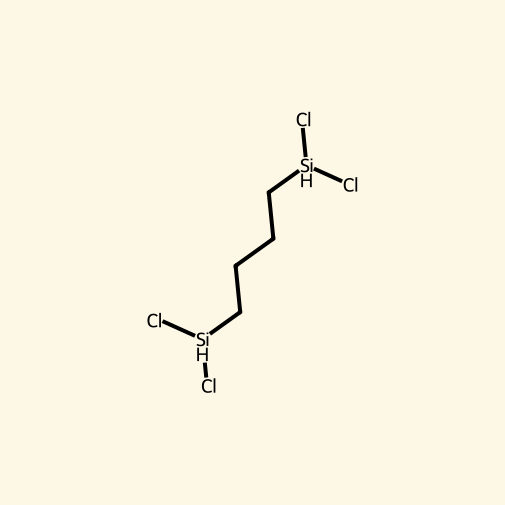 Cl[SiH](Cl)CCCC[SiH](Cl)Cl